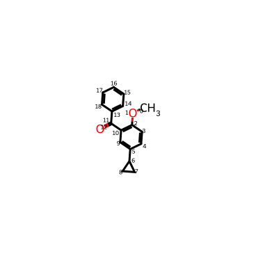 COc1ccc(C2CC2)cc1C(=O)c1ccccc1